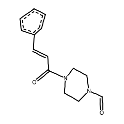 O=CN1CCN(C(=O)/C=C/c2ccccc2)CC1